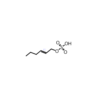 CCC/C=C/COS(=O)(=O)O